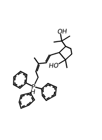 CC(C=CC1C(C(C)(C)O)CCC1(C)O)=CC[PH](c1ccccc1)(c1ccccc1)c1ccccc1